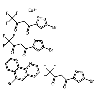 Brc1cc2cccnc2c2ncccc12.O=C(CC(=O)C(F)(F)F)c1cc(Br)cs1.O=C(CC(=O)C(F)(F)F)c1cc(Br)cs1.O=C(CC(=O)C(F)(F)F)c1cc(Br)cs1.[Eu+3]